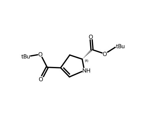 CC(C)(C)OC(=O)C1=CN[C@@H](C(=O)OC(C)(C)C)C1